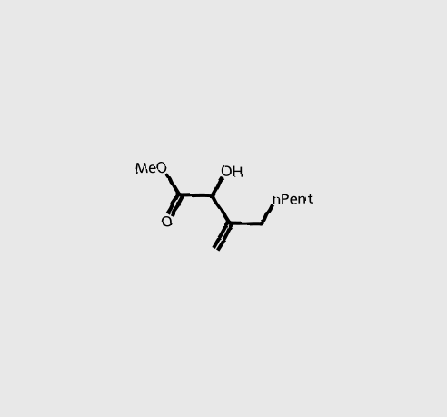 C=C(CCCCCC)C(O)C(=O)OC